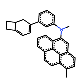 Cc1ccc2cc(N(C)c3cccc(C4=CC=C5CCC5C4)c3)c3cccc4ccc1c2c43